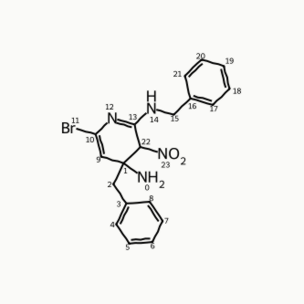 NC1(Cc2ccccc2)C=C(Br)N=C(NCc2ccccc2)C1[N+](=O)[O-]